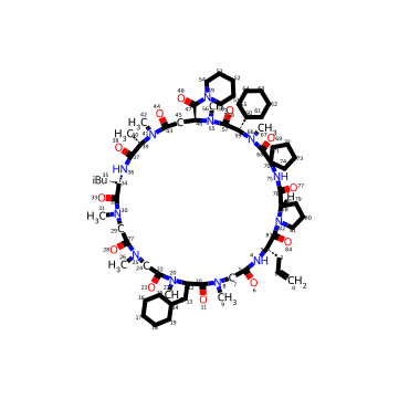 C=CC[C@@H]1NC(=O)CN(C)C(=O)C(CC2CCCCC2)N(C)C(=O)CN(C)C(=O)CN(C)C(=O)[C@H]([C@@H](C)CC)NC(=O)[C@H](C)N(C)C(=O)C[C@@H](C(=O)N2CCCCC2)N(C)C(=O)[C@H](C2CCCCC2)N(C)C(=O)C2(CCCC2)NC(=O)[C@@H]2CCCN2C1=O